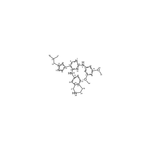 COc1cc(Nc2ncc(-c3cnn(CC(C)C)c3)c(Nc3ccc4c(c3)CNCC4)n2)cc(OC)c1